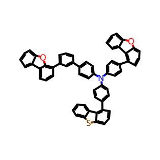 c1cc(-c2ccc(N(c3ccc(-c4cccc5oc6ccccc6c45)cc3)c3ccc(-c4cccc5sc6ccccc6c45)cc3)cc2)cc(-c2cccc3c2oc2ccccc23)c1